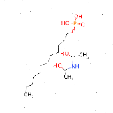 CC(O)NC(C)O.CCCCCCCCCCCCOP(=O)(O)O